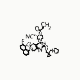 C=CC(=O)N1CCN(c2nc(OCC3(CN4CCCC4)CC3)nc3c2CCN(c2cccc4ccc(F)c(Cl)c24)C3)C[C@@H]1CC#N